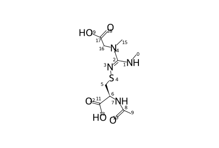 CN/C(=N\SC[C@@H](NC(C)=O)C(=O)O)N(C)CC(=O)O